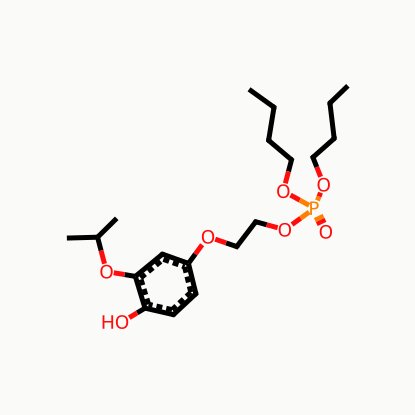 CCCCOP(=O)(OCCCC)OCCOc1ccc(O)c(OC(C)C)c1